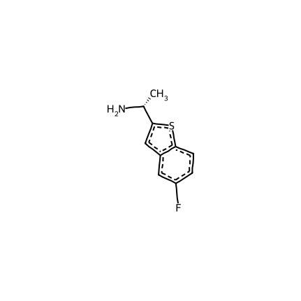 C[C@@H](N)c1cc2cc(F)ccc2s1